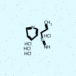 C=C[CH2][Ti]=[NH].Cl.Cl.Cl.Cl.c1ccncc1